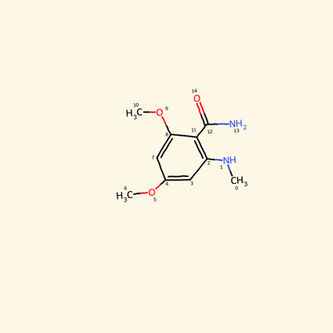 CNc1cc(OC)cc(OC)c1C(N)=O